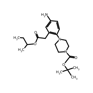 CCC(C)OC(=O)Cc1cc(N)ccc1N1CCN(C(=O)OC(C)(C)C)CC1